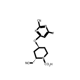 N#CC[C@@H]1C[C@@H](Oc2cc(F)nc(C#N)n2)CCN1C(=O)O